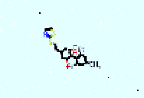 CCc1cc(C)cc(CC)c1C1=C(O)CC(CCSc2nccs2)CC1=O